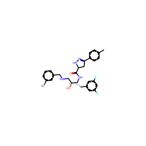 CCc1cccc(CNC[C@H](O)[C@@H](Cc2cc(F)cc(F)c2)NC(=O)C2CC(c3ccc(C)cc3)=NN2)c1